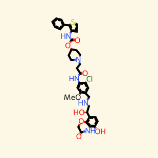 COc1cc(NC(=O)CCN2CCC(OC(=O)Nc3ccsc3-c3ccccc3)CC2)c(Cl)cc1CNC[C@H](O)c1ccc(O)c2c1OCC(=O)N2